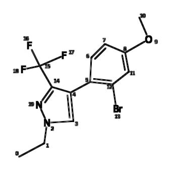 CCn1cc(-c2ccc(OC)cc2Br)c(C(F)(F)F)n1